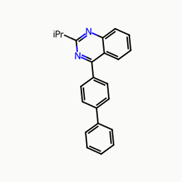 CC(C)c1nc(-c2ccc(-c3ccccc3)cc2)c2ccccc2n1